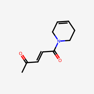 CC(=O)C=CC(=O)N1CC=CCC1